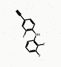 C#Cc1ccc(Nc2[c]ccc(F)c2F)c(F)c1